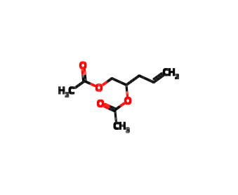 C=CCC(COC(C)=O)OC(C)=O